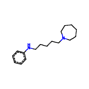 c1ccc(NCCCCCN2CCCCCC2)cc1